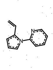 C=Cc1cccn1-c1ccccn1